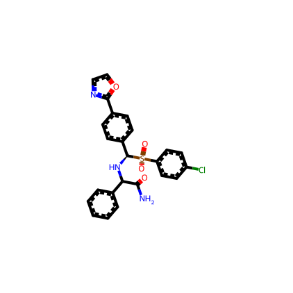 NC(=O)C(N[C@@H](c1ccc(-c2ncco2)cc1)S(=O)(=O)c1ccc(Cl)cc1)c1ccccc1